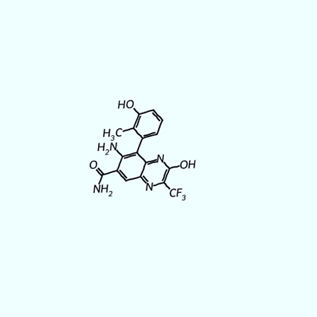 Cc1c(O)cccc1-c1c(N)c(C(N)=O)cc2nc(C(F)(F)F)c(O)nc12